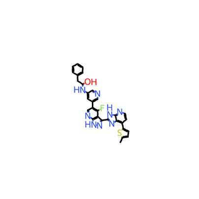 Cc1ccc(-c2ccnc3[nH]c(-c4n[nH]c5ncc(-c6cncc(NC(O)Cc7ccccc7)c6)c(F)c45)nc23)s1